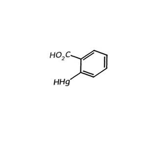 O=C(O)c1cccc[c]1[HgH]